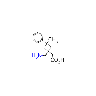 C[C@]1(c2ccccc2)C[C@@](CN)(CC(=O)O)C1